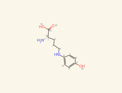 N[C@@H](CCCNc1ccc(O)cc1)C(=O)O